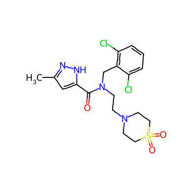 Cc1cc(C(=O)N(CCN2CCS(=O)(=O)CC2)Cc2c(Cl)cccc2Cl)[nH]n1